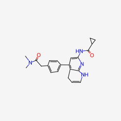 CN(C)C(=O)Cc1ccc(-c2cc(NC(=O)C3CC3)nc3c2CC=CN3)cc1